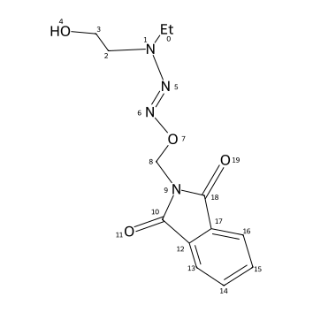 CCN(CCO)/N=N/OCN1C(=O)c2ccccc2C1=O